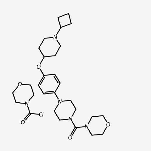 O=C(Cl)N1CCOCC1.O=C(N1CCOCC1)N1CCN(c2ccc(OC3CCN(C4CCC4)CC3)cc2)CC1